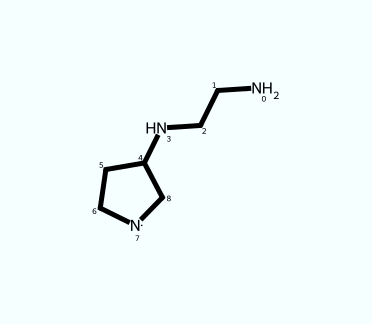 NCCNC1CC[N]C1